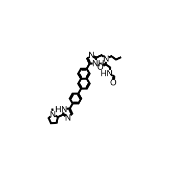 CCCN(Cc1ncc(-c2ccc3cc(-c4ccc(-c5cnc(C6CCCN6C)[nH]5)cc4)ccc3c2)[nH]1)C(=O)CNC=O